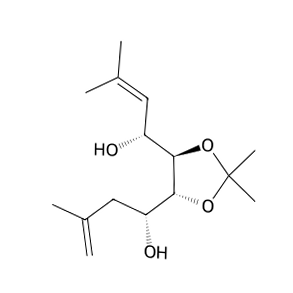 C=C(C)C[C@@H](O)[C@H]1OC(C)(C)O[C@@H]1[C@H](O)C=C(C)C